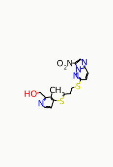 Cc1c(SCCCSc2ccc3ncc([N+](=O)[O-])n3n2)ccnc1CO